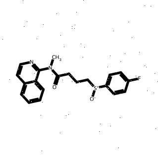 CN(C(=O)CCC[S+]([O-])c1ccc(F)cc1)c1nccc2ccccc12